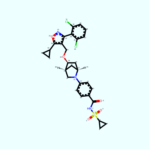 O=C(NS(=O)(=O)C1CC1)c1ccc(N2C[C@@H]3C[C@H]2C[C@@H]3OCc2c(-c3c(Cl)cccc3Cl)noc2C2CC2)cc1